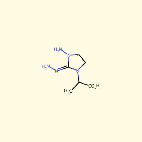 CC(C(=O)O)N1CCN(N)/C1=N\N